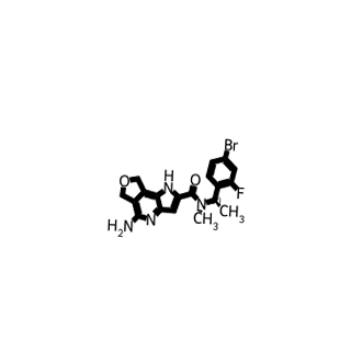 C[C@H](c1ccc(Br)cc1F)N(C)C(=O)c1cc2nc(N)c3c(c2[nH]1)COC3